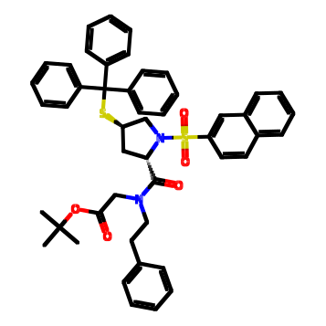 CC(C)(C)OC(=O)CN(CCc1ccccc1)C(=O)[C@@H]1C[C@@H](SC(c2ccccc2)(c2ccccc2)c2ccccc2)CN1S(=O)(=O)c1ccc2ccccc2c1